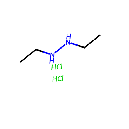 CCNNCC.Cl.Cl